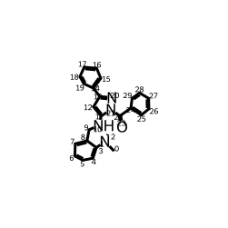 CN(C)c1ccccc1CNc1cc(-c2ccccc2)nn1C(=O)c1ccccc1